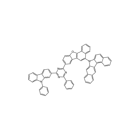 c1ccc(-c2nc(-c3ccc4oc5c6ccccc6c(-n6c7cc8ccccc8cc7c7c8ccccc8ccc76)cc5c4c3)nc(-c3ccc4c5ccccc5n(-c5ccccc5)c4c3)n2)cc1